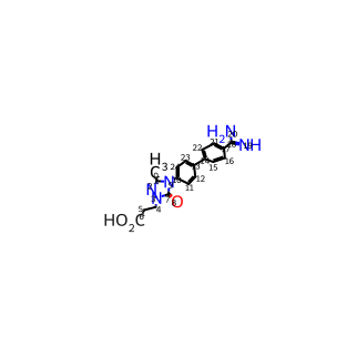 Cc1nn(CCC(=O)O)c(=O)n1-c1ccc(-c2ccc(C(=N)N)cc2)cc1